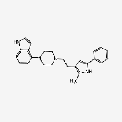 Cc1[nH]c(-c2ccccc2)cc1CCN1CCN(c2cccc3[nH]ccc23)CC1